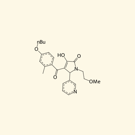 CCCCOc1ccc(C(=O)C2=C(O)C(=O)N(CCOC)C2c2cccnc2)c(C)c1